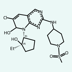 CC[C@@]1(O)CCC[C@H]1N1c2nc(NC3CCN(S(C)(=O)=O)CC3)ncc2C=C(Cl)C1O